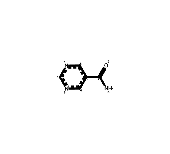 [NH]C(=O)c1cncnc1